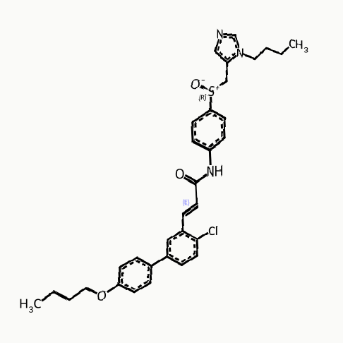 CCCCOc1ccc(-c2ccc(Cl)c(/C=C/C(=O)Nc3ccc([S@@+]([O-])Cc4cncn4CCCC)cc3)c2)cc1